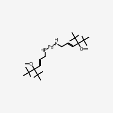 COC(C=CC[PH][Pd][PH]CC=CC(OC)(C(C)(C)C)C(C)(C)C)(C(C)(C)C)C(C)(C)C